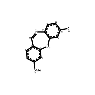 CSc1ccc2c(c1)Oc1cc(Cl)ccc1N=C2